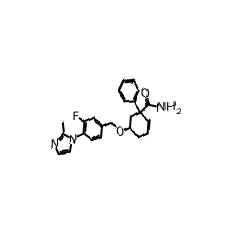 Cc1nccn1-c1ccc(COC2CCCC(C(N)=O)(c3ccccc3)C2)cc1F